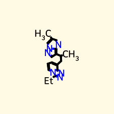 CCc1nnc2c(CC(C)c3cnn4cc(C)cnc34)cccn12